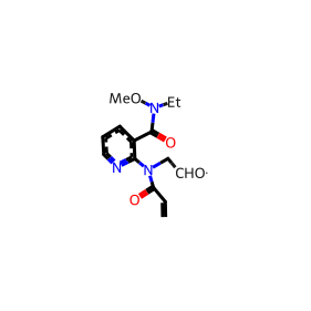 C=CC(=O)N(C[C]=O)c1ncccc1C(=O)N(CC)OC